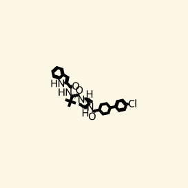 CC(C)(C)[C@H](NC(=O)c1cc2ccccc2[nH]1)C(=O)N1C[C@@H]2C[C@H]1CN2C(=O)C1CCC(c2ccc(Cl)cc2)CC1